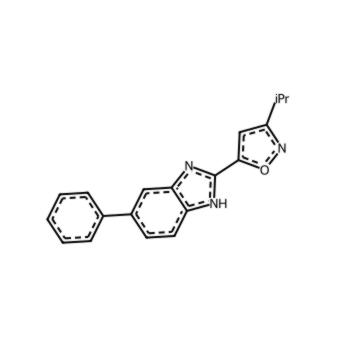 CC(C)c1cc(-c2nc3cc(-c4ccccc4)ccc3[nH]2)on1